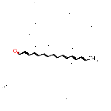 CC=CC=CC=CC=CC=CC=CC=CC=O